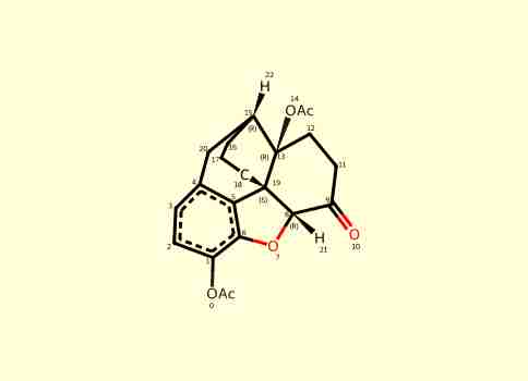 CC(=O)Oc1ccc2c3c1O[C@H]1C(=O)CC[C@@]4(OC(C)=O)[C@H](CCC[C@]314)C2